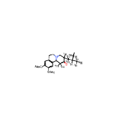 [2H]C1([2H])C(=O)C([2H])(C([2H])([2H])C([2H])(C([2H])([2H])[2H])C([2H])([2H])C)CN2CCc3cc(OC)c(OC)cc3C21